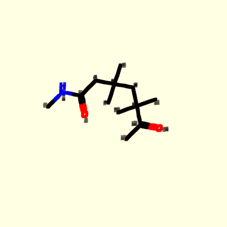 CNC(=O)CC(C)(C)CC(C)(C)C(C)=O